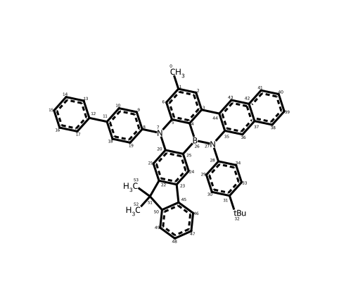 Cc1cc2c3c(c1)N(c1ccc(-c4ccccc4)cc1)c1cc4c(cc1B3N(c1ccc(C(C)(C)C)cc1)c1cc3ccccc3cc1-2)-c1ccccc1C4(C)C